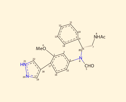 COc1cc(N(C=O)[C@@H](CNC(C)=O)c2ccccc2)ccc1-c1cn[nH]c1